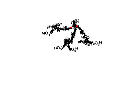 CCCNC(=O)c1cc(OCCCCc2cn(CCCNC(=O)c3cc(OCCC)c(OCCC)c(OCCCS(=O)(=O)O)c3)nn2)c(OCCCCc2cn(CCCNC(=O)c3cc(OCCC)c(OCCCS(=O)(=O)O)c(OCCCS(=O)(=O)O)c3)nn2)c(OCCCCc2cn(CCCNC(=O)c3cc(OCCC)c(OCCC)c(OCCCS(=O)(=O)O)c3)nn2)c1